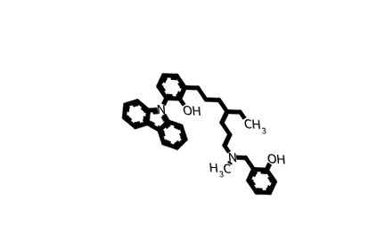 CCC(CCCc1cccc(-n2c3ccccc3c3ccccc32)c1O)CCCN(C)Cc1ccccc1O